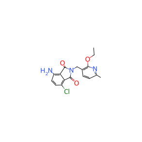 CCOc1nc(C)ccc1CN1C(=O)c2c(N)ccc(Cl)c2C1=O